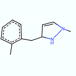 Cc1ccccc1CC1C=CN(C)N1